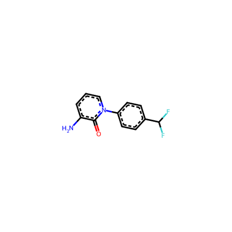 Nc1cccn(-c2ccc(C(F)F)cc2)c1=O